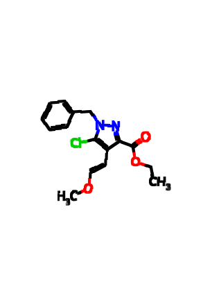 CCOC(=O)c1nn(Cc2ccccc2)c(Cl)c1C=COC